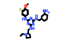 CCN1CCCC1CNc1nc(NCC2CCCC(N)C2)nc(Nc2ccc(OC)c(F)c2)n1